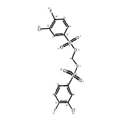 O=S(=O)(OCOS(=O)(=O)c1ccc(F)c(Cl)c1)c1ccc(F)c(Cl)c1